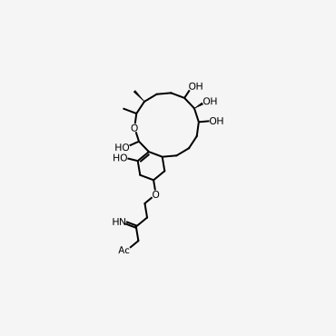 CC(=O)CC(=N)CCOC1CC(O)=C2C(CCCC(O)[C@H](O)C(O)CC[C@H](C)C(C)OC2O)C1